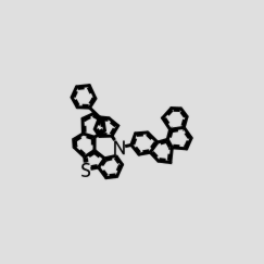 c1ccc(-c2ccc(N(c3ccc4c(ccc5ccc6ccccc6c54)c3)c3cccc4sc5ccc6ccccc6c5c34)cc2)cc1